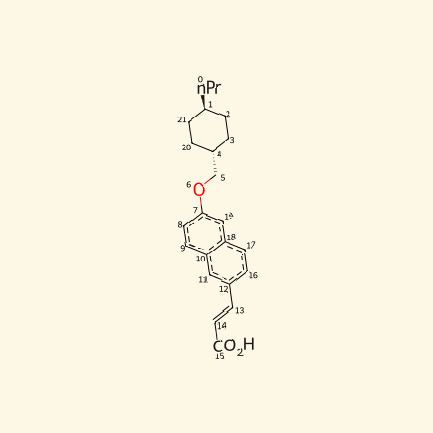 CCC[C@H]1CC[C@H](COc2ccc3cc(C=CC(=O)O)ccc3c2)CC1